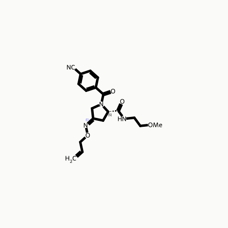 C=CCO/N=C1\C[C@@H](C(=O)NCCOC)N(C(=O)c2ccc(C#N)cc2)C1